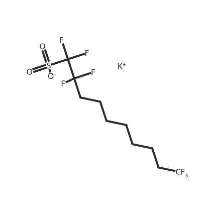 O=S(=O)([O-])C(F)(F)C(F)(F)CCCCCCCC(F)(F)F.[K+]